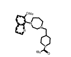 COc1ccc2cccnc2c1N1CCCN(CC2CCN(C(=O)C(C)(C)C)CC2)CC1